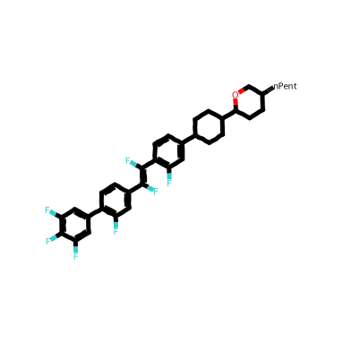 CCCCCC1CCC(C2CCC(c3ccc(/C(F)=C(\F)c4ccc(-c5cc(F)c(F)c(F)c5)c(F)c4)c(F)c3)CC2)OC1